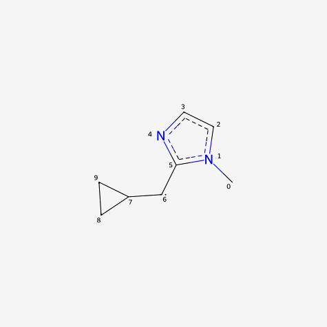 Cn1ccnc1[CH]C1CC1